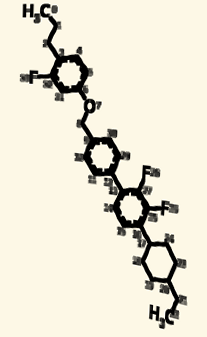 CCCc1ccc(OCc2ccc(-c3ccc(C4CCC(CC)CC4)c(F)c3F)cc2)cc1F